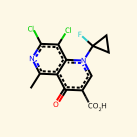 Cc1nc(Cl)c(Cl)c2c1c(=O)c(C(=O)O)cn2C1(F)CC1